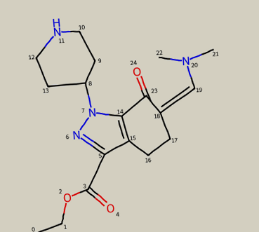 CCOC(=O)c1nn(C2CCNCC2)c2c1CC/C(=C/N(C)C)C2=O